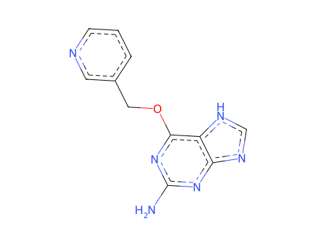 Nc1nc(OCc2cccnc2)c2[nH]cnc2n1